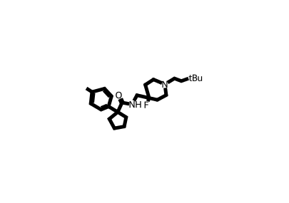 Cc1ccc(C2(C(=O)NCC3(F)CCN(CCC(C)(C)C)CC3)CCCC2)cc1